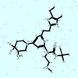 CCc1oc(CCc2cc(N3CCC(F)(F)C(O)C3)cc(N(CCOC)C(=O)OC(C)(C)C)n2)nc1C